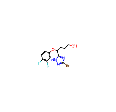 OCCCC(Oc1ccc(F)c(F)c1)c1nc(Br)n[nH]1